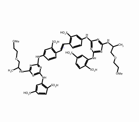 COCCOCC(C)Nc1nc(Nc2ccc(/C=C/c3ccc(Nc4nc(Nc5cc(S(=O)(=O)O)ccc5S(=O)(=O)O)nc(NC(C)COCCOC)n4)cc3S(=O)(=O)O)c(S(=O)(=O)O)c2)nc(Nc2cc(S(=O)(=O)O)ccc2S(=O)(=O)O)n1